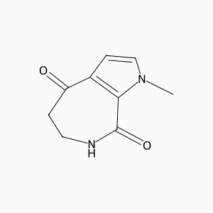 Cn1ccc2c1C(=O)NCCC2=O